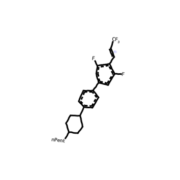 CCCCCC1CCC(c2ccc(-c3cc(F)c(/C=C/C(F)(F)F)c(F)c3)cc2)CC1